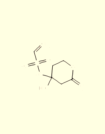 C=CS(=O)(=O)OC1(C)CCOC(=O)C1